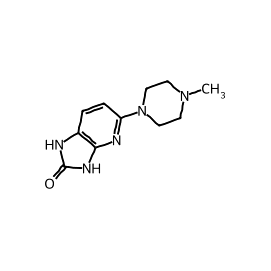 CN1CCN(c2ccc3[nH]c(=O)[nH]c3n2)CC1